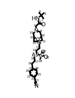 CC(C)(C)NC(=O)CN1CC2CN(CC[As](CCCc3ccc(C#N)cc3)S(C)(=O)=O)CC(C1)O2